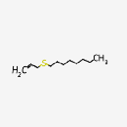 C=CCSCCCCCCCC